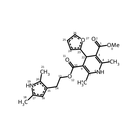 COC(=O)C1=C(C)NC(C)=C(C(=O)OCCc2cc(C)[nH]c2C)C1c1ccco1